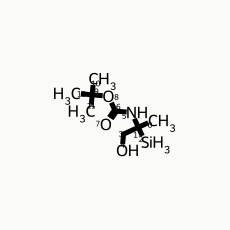 CC([SiH3])(CO)NC(=O)OC(C)(C)C